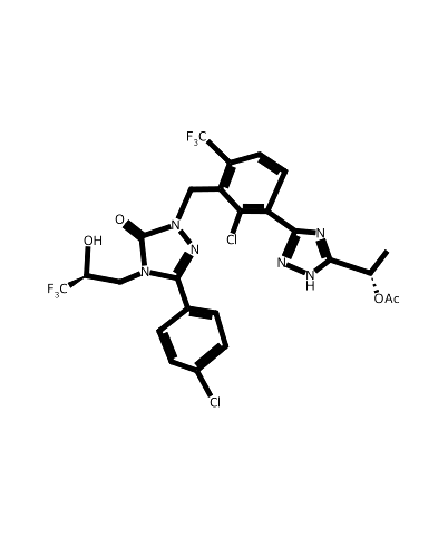 CC(=O)O[C@@H](C)c1nc(-c2ccc(C(F)(F)F)c(Cn3nc(-c4ccc(Cl)cc4)n(C[C@H](O)C(F)(F)F)c3=O)c2Cl)n[nH]1